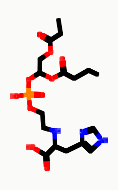 CCCC(=O)OC(COC(=O)CC)OP(=O)(O)OCCNC(Cc1c[nH]cn1)C(=O)O